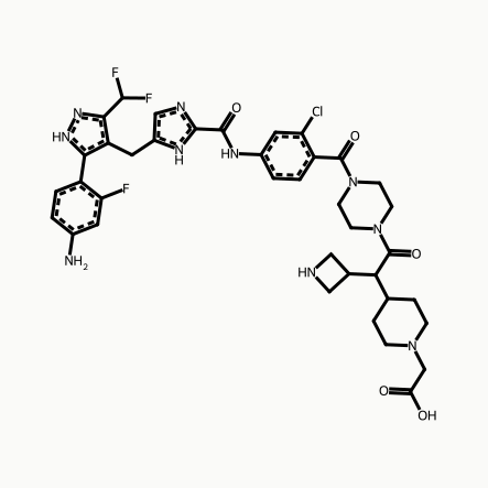 Nc1ccc(-c2[nH]nc(C(F)F)c2Cc2cnc(C(=O)Nc3ccc(C(=O)N4CCN(C(=O)C(C5CCN(CC(=O)O)CC5)C5CNC5)CC4)c(Cl)c3)[nH]2)c(F)c1